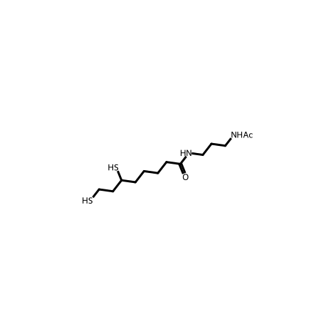 CC(=O)NCCCNC(=O)CCCCC(S)CCS